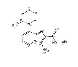 CCCNC(=O)c1nc2c(N3CCOCC3C)cccn2c1N